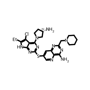 CCc1[nH]c2nc(Sc3cnc4c(N)nc(CN5CCCCC5)nc4c3)nc(N3CC[C@H](N)C3)c2c1Cl